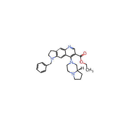 CCOC(=O)c1cnc2cc3c(cc2c1N1CCN2CCC[C@H]2C1)N(Cc1ccccc1)CC3